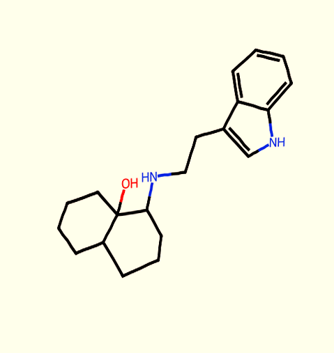 OC12CCCCC1CCCC2NCCc1c[nH]c2ccccc12